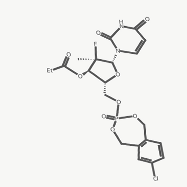 CCC(=O)O[C@@H]1[C@@H](COP2(=O)OCc3ccc(Cl)cc3CO2)O[C@@H](n2ccc(=O)[nH]c2=O)[C@]1(C)F